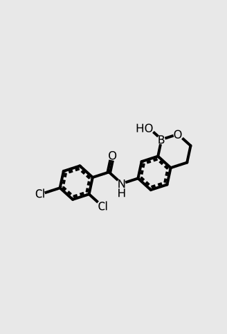 O=C(Nc1ccc2c(c1)B(O)OCC2)c1ccc(Cl)cc1Cl